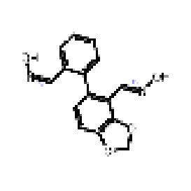 O/N=C\c1ccccc1-c1ccc2c(c1/C=N/O)OCO2